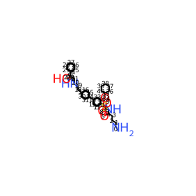 NCCCC(=O)NS(=O)(=O)c1ccc(-c2ccc(CCNC[C@@H](O)c3ccccc3)cc2)cc1OC1CCCCC1